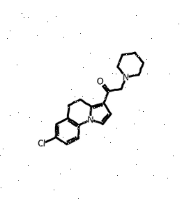 O=C(CN1CCCCC1)c1ccn2c1CCc1cc(Cl)ccc1-2